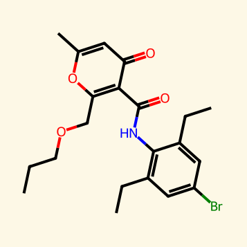 CCCOCc1oc(C)cc(=O)c1C(=O)Nc1c(CC)cc(Br)cc1CC